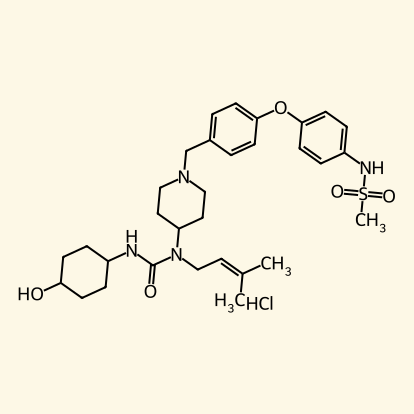 CC(C)=CCN(C(=O)NC1CCC(O)CC1)C1CCN(Cc2ccc(Oc3ccc(NS(C)(=O)=O)cc3)cc2)CC1.Cl